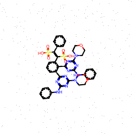 O=S(=O)(O)C(=C(c1cccc(-c2nc(Nc3ccccc3)nc(N3CCOCC3)n2)c1-c1nc(Nc2ccccc2)nc(N2CCOCC2)n1)S(=O)(=O)O)c1ccccc1